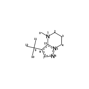 CN1CCCn2ncc(C(C)(C)C)c21